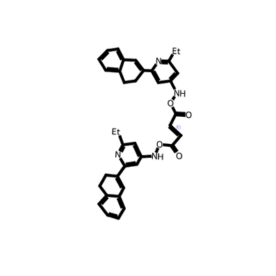 CCc1cc(NOC(=O)/C=C/C(=O)ONc2cc(CC)nc(C3=Cc4ccccc4CC3)c2)cc(C2=Cc3ccccc3CC2)n1